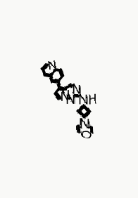 c1cnc2ccc(-c3ccn4nc(N[C@H]5C[C@@H](N6CCOCC6)C5)ncc34)cc2c1